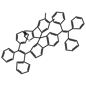 Cc1cc2c(cc1C)C1(c3cc(C(=C(c4ccccc4)c4ccccc4)c4ccccc4)ccc3-c3ccc(C(=C(c4ccccc4)c4ccccc4)c4ccccc4)cc31)c1sccc1-2